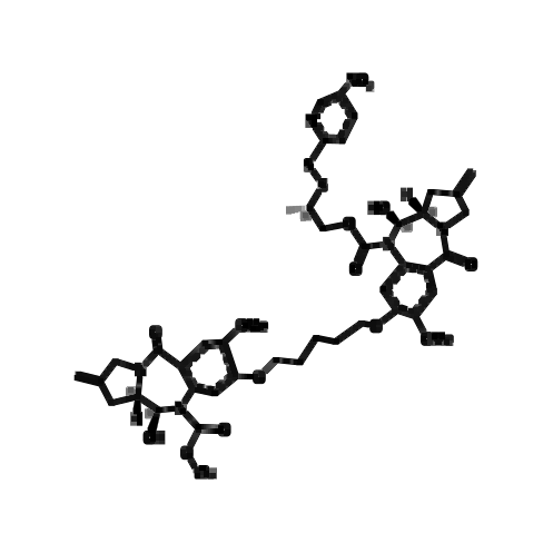 C=C1C[C@H]2[C@H](O)N(C(=O)OC[C@H](C)SSc3ccc([N+](=O)[O-])cn3)c3cc(OCCCCCOc4cc5c(cc4OC)C(=O)N4CC(=C)C[C@H]4[C@H](O)N5C(=O)OC(C)(C)C)c(OC)cc3C(=O)N2C1